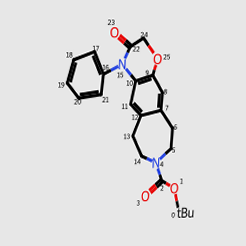 CC(C)(C)OC(=O)N1CCc2cc3c(cc2CC1)N(c1ccccc1)C(=O)CO3